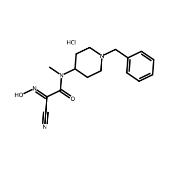 CN(C(=O)C(C#N)=NO)C1CCN(Cc2ccccc2)CC1.Cl